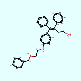 OCCC(=C(c1ccccc1)c1ccc(OCCOCc2ccccc2)cc1)c1ccccc1